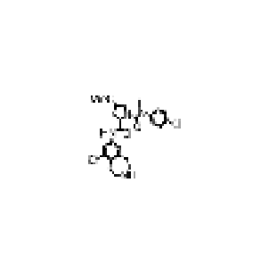 COC1CC(C(=O)Nc2cc(Cl)c3c(c2)CCNCC3)N(C(=O)Nc2ccc(Cl)cc2)C1